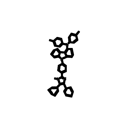 Cc1ccc(N(c2ccc(C)cc2)c2cccc3c2c2ccccc2n3-c2ccc(-c3nc(-c4ccccc4)c(-c4ccccc4)n3C)cc2)cc1